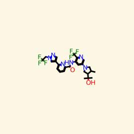 CC1CN(c2cnc(C(F)(F)F)c(NC(=O)c3cccc(-c4cnn(CC(F)(F)F)c4)n3)c2)CC1C(C)(C)O